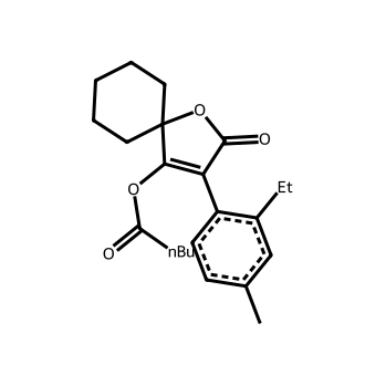 CCCCC(=O)OC1=C(c2ccc(C)cc2CC)C(=O)OC12CCCCC2